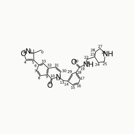 Cc1nocc1-c1ccc2c(=O)n(Cc3cccc(C(=O)NCC4CCNCC4)c3)ccc2c1